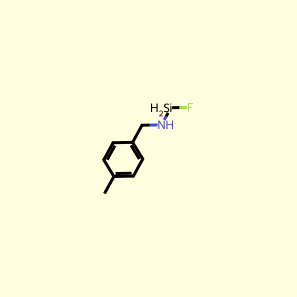 Cc1ccc(CN[SiH2]F)cc1